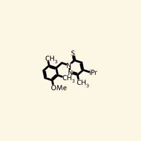 COc1ccc(C)c(Cn2nc(C)c(C(C)C)cc2=S)c1C